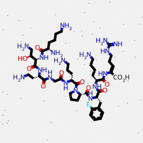 N=C(N)NCC/C=C(\NC(=O)[C@H](CCCCN)NC(=O)[C@H](Cc1ccccc1F)NC(=O)[C@@H]1CCCN1C(=O)[C@@H](CCCN)NC(=O)CNC(=O)[C@H](CCN)NC(=O)[C@@H](NC(=O)[C@@H](N)CCCCN)[C@@H](O)CN)C(=O)O